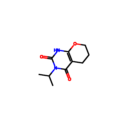 CC(C)n1c(=O)[nH]c2c(c1=O)CCCO2